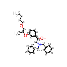 CCCCOCC(C)Oc1cccc([C@H](O)CN(Cc2ccccc2)Cc2ccccc2)c1